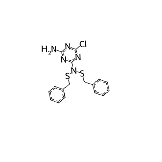 Nc1nc(Cl)nc(N(SCc2ccccc2)SCc2ccccc2)n1